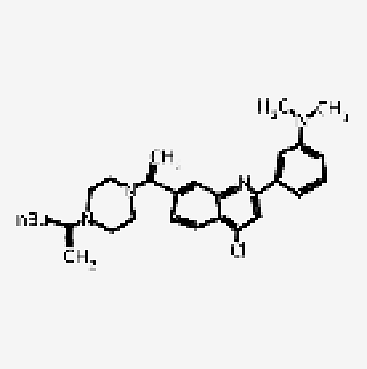 C=C(CCCC)N1CCN(C(=C)c2ccc3c(Cl)cc(-c4cccc(N(C)C)c4)nc3c2)CC1